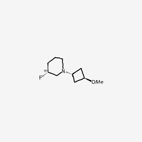 CO[C@H]1C[C@H](N2CCC[C@@H](F)C2)C1